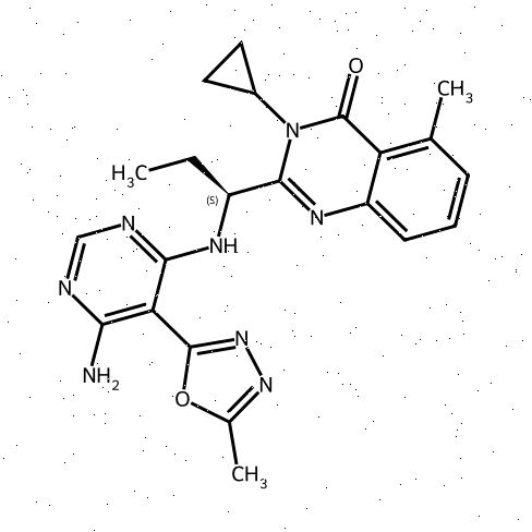 CC[C@H](Nc1ncnc(N)c1-c1nnc(C)o1)c1nc2cccc(C)c2c(=O)n1C1CC1